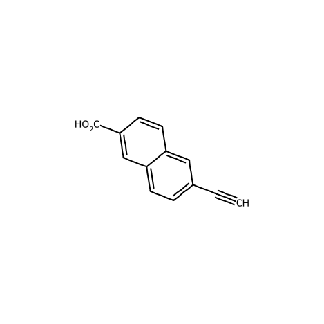 C#Cc1ccc2cc(C(=O)O)ccc2c1